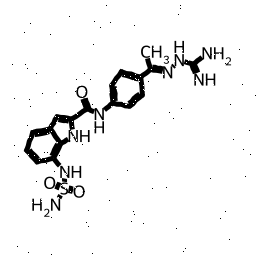 C/C(=N\NC(=N)N)c1ccc(NC(=O)c2cc3cccc(NS(N)(=O)=O)c3[nH]2)cc1